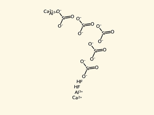 F.F.O=[Si]([O-])[O-].O=[Si]([O-])[O-].O=[Si]([O-])[O-].O=[Si]([O-])[O-].O=[Si]([O-])[O-].[Al+3].[Al+3].[Ca+2].[Ca+2]